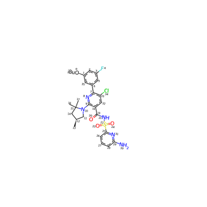 CC(C)COc1cc(F)cc(-c2nc(N3C[C@@H](C)CC3(C)C)c(C(=O)NS(=O)(=O)c3cccc(N)n3)cc2Cl)c1